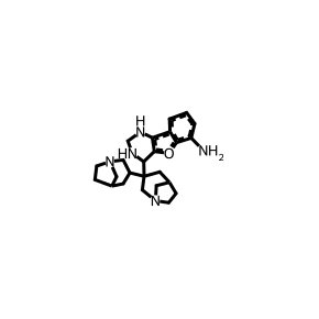 Nc1cccc2c3c(oc12)C(C1(C2CC4CCN(C4)C2)CC2CCN(C2)C1)NCN3